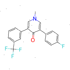 Cn1cc(-c2ccc(F)cc2)c(=O)c(-c2cccc(C(F)(F)F)c2)c1